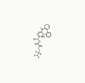 CCC(OC(=O)NCCC(F)(F)C(F)F)C(=O)NC1C(=O)N(C)C2=C(C=CCC2)c2ccccc21